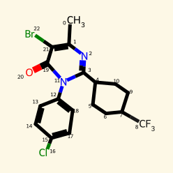 Cc1nc(C2CCC(C(F)(F)F)CC2)n(-c2ccc(Cl)cc2)c(=O)c1Br